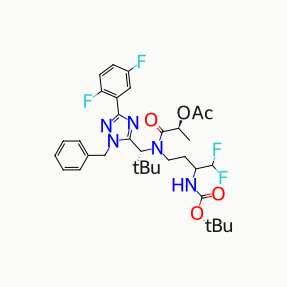 CC(=O)O[C@@H](C)C(=O)N(CCC(NC(=O)OC(C)(C)C)C(F)F)[C@@H](c1nc(-c2cc(F)ccc2F)nn1Cc1ccccc1)C(C)(C)C